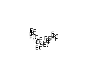 CC[S+](CC)CC.FC(F)C(F)(F)F.F[B-](F)(F)F.F[B-](F)(F)F.F[B-](F)(F)F